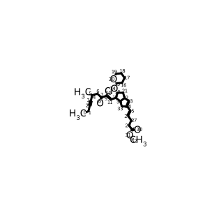 CCC#CC(C)CC(=O)C(Cl)=CC1C(OC2CCCCO2)CC2C=C(C=CCCC(=O)OC)CC21